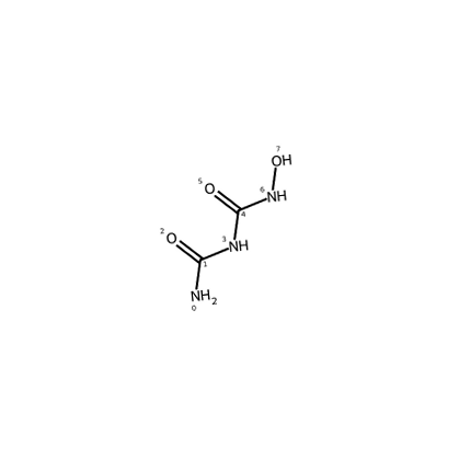 NC(=O)NC(=O)NO